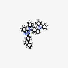 c1cc(-n2c3ccccc3c3ccccc32)c2cc3c4ccccc4n(-c4nc(-c5ccc6c(ccc7ccccc76)c5)nc5ccccc45)c3cc2c1